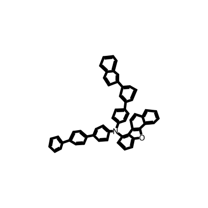 c1ccc(-c2ccc(-c3ccc(N(c4ccc(-c5cccc(-c6ccc7ccccc7c6)c5)cc4)c4cccc5oc6c7ccccc7ccc6c45)cc3)cc2)cc1